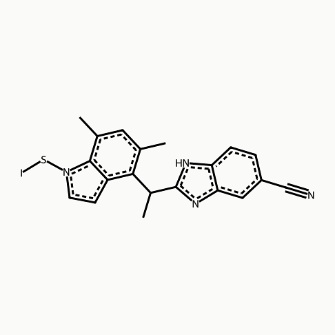 Cc1cc(C)c2c(ccn2SI)c1C(C)c1nc2cc(C#N)ccc2[nH]1